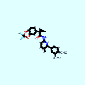 COc1cc(-c2nc(NC(=O)C3(c4ccc5c(c4)OC(F)(F)O5)CC3)ccc2C)ccc1C=O